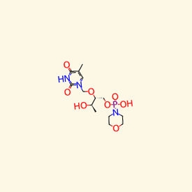 Cc1cn(CO[C@H](COP(=O)(O)N2CCOCC2)[C@@H](C)O)c(=O)[nH]c1=O